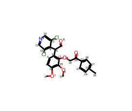 COc1ccc(C(C=O)c2c(Cl)cncc2Cl)c(OCC(=O)c2ccc(C)cc2)c1OC